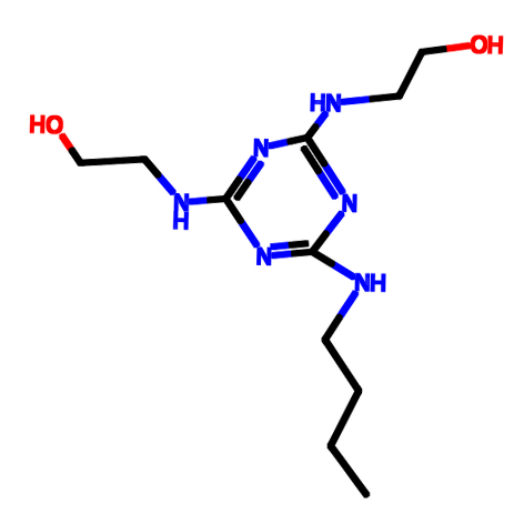 CCCCNc1nc(NCCO)nc(NCCO)n1